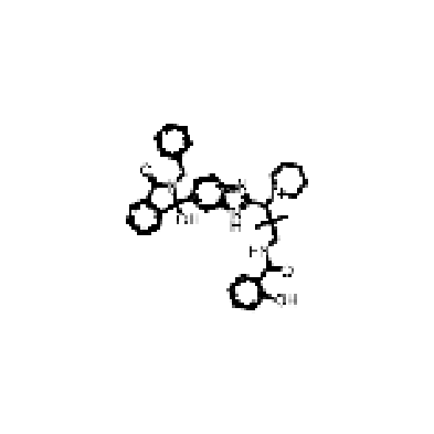 CC(C)(CNC(=O)c1ccccc1O)C(c1nc2ccc(C3(O)c4ccccc4C(=O)N3Cc3ccccc3)cc2[nH]1)N1CCCCC1